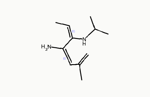 C=C(C)/C=C(N)\C(=C/C)NC(C)C